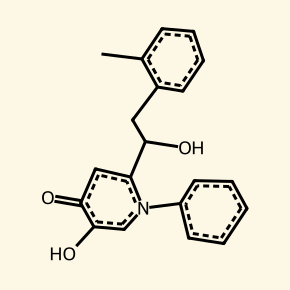 Cc1ccccc1CC(O)c1cc(=O)c(O)cn1-c1ccccc1